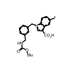 CC(C)(C)OC(=O)NCc1cccc(Cn2cc(C(=O)O)c3cc(F)ccc32)c1